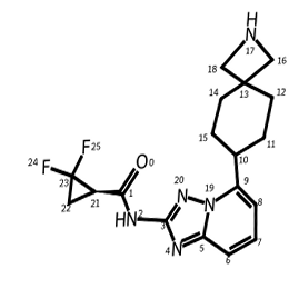 O=C(Nc1nc2cccc(C3CCC4(CC3)CNC4)n2n1)[C@H]1CC1(F)F